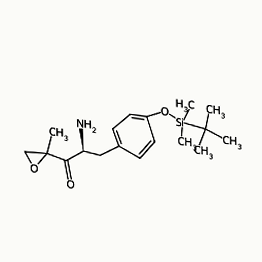 CC1(C(=O)[C@@H](N)Cc2ccc(O[Si](C)(C)C(C)(C)C)cc2)CO1